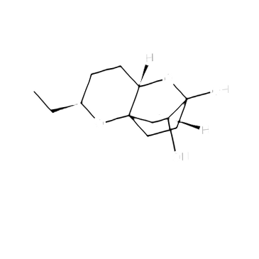 CC[C@H]1CC[C@@H]2OC3(O)CCC2(C[C@H]3O)O1